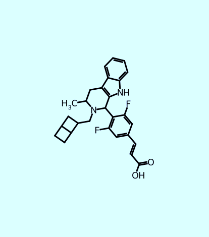 CC1Cc2c([nH]c3ccccc23)C(c2c(F)cc(/C=C/C(=O)O)cc2F)N1CC1CC2CCC21